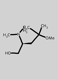 COC(C)(C)C[C@@H](CO)N(C)C